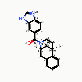 C[C@H]1[C@H]2Cc3ccccc3[C@@H]1CCN2C(=O)c1ccc2nc[nH]c2c1